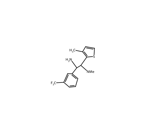 CNC(c1sccc1C)C(N)c1cccc(C(F)(F)F)c1